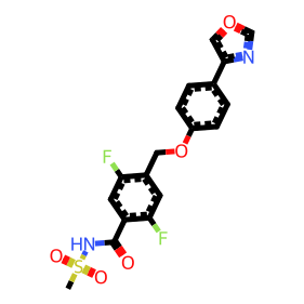 CS(=O)(=O)NC(=O)c1cc(F)c(COc2ccc(-c3cocn3)cc2)cc1F